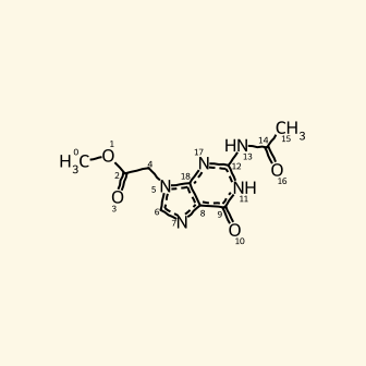 COC(=O)Cn1cnc2c(=O)[nH]c(NC(C)=O)nc21